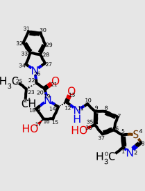 Cc1ncsc1-c1ccc(CNC(=O)[C@@H]2C[C@@H](O)CN2C(=O)[C@H](C(C)C)N2Cc3ccccc3C2)c(O)c1